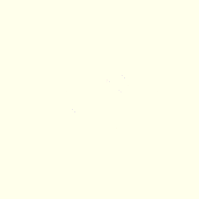 c1ccc(-c2cc(-c3ccccc3)nc(-c3ccc(-c4cccc5c4sc4ccccc45)c(-c4nc(-c5ccccc5)nc(-c5ccccc5)n4)c3)c2)cc1